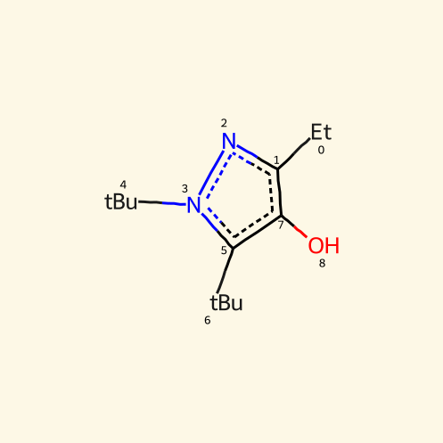 CCc1nn(C(C)(C)C)c(C(C)(C)C)c1O